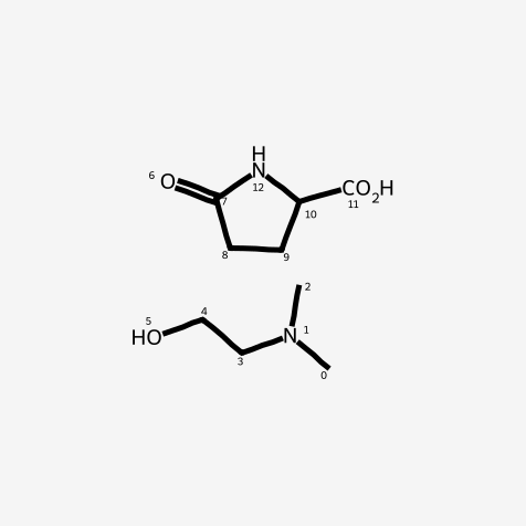 CN(C)CCO.O=C1CCC(C(=O)O)N1